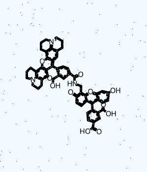 O=C(O)c1ccc(-c2c3ccc(=O)c(CNC(=O)c4ccc(C5=c6cc7c8c(c6Oc6c5cc5c9c6CCCN9CCC5)CCC[N+]=8CCC7)c(C(=O)O)c4)c-3oc3cc(O)ccc23)c(C(=O)O)c1